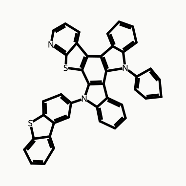 c1ccc(-n2c3ccccc3c3c4c5cccnc5sc4c4c(c5ccccc5n4-c4ccc5sc6ccccc6c5c4)c32)cc1